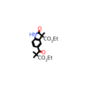 CCOC(=O)C(C)(C)C(=O)c1ccc2c(c1)C(C)(C(=O)OCC)C(=O)N2